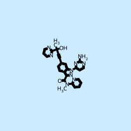 CN(C(=O)c1nn(-c2ccnc(N)n2)c2cc(C#CC(C)(O)c3ncccn3)ccc12)c1ccccn1